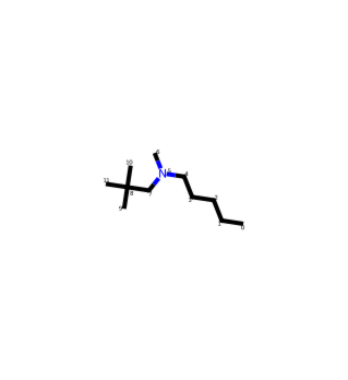 CCCCCN(C)CC(C)(C)C